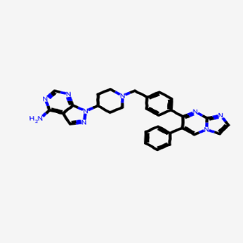 Nc1ncnc2c1cnn2C1CCN(Cc2ccc(-c3nc4nccn4cc3-c3ccccc3)cc2)CC1